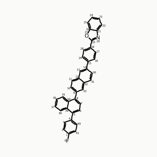 Fc1ccc(-c2ccc(-c3ccc4cc(-c5ccc(-c6nc7ccccc7o6)cc5)ccc4c3)c3ccccc23)cc1